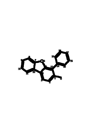 Cc1ccc2c(oc3ccccc32)c1-c1ccccc1